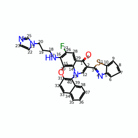 O=c1c(-c2nc3ccccc3s2)cn2c3c(c(NCCCn4ccnc4)c(F)cc13)Oc1ccc3ccccc3c1-2